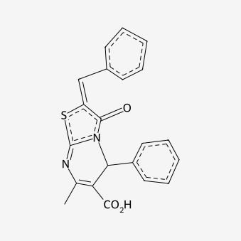 CC1=C(C(=O)O)C(c2ccccc2)n2c(sc(=Cc3ccccc3)c2=O)=N1